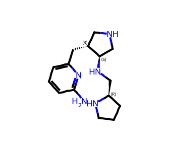 Nc1cccc(C[C@@H]2CNC[C@H]2NC[C@H]2CCCN2)n1